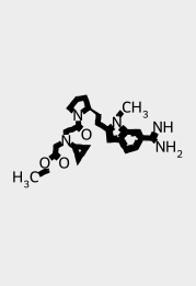 CCOC(=O)CN(CC(=O)N1CCC[C@H]1CCc1cc2ccc(C(=N)N)cc2n1CC)C1CC1